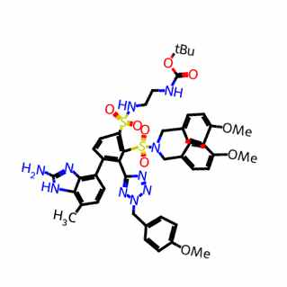 COc1ccc(CN(Cc2ccc(OC)cc2)S(=O)(=O)c2c(S(=O)(=O)NCCNC(=O)OC(C)(C)C)ccc(-c3ccc(C)c4[nH]c(N)nc34)c2-c2nnn(Cc3ccc(OC)cc3)n2)cc1